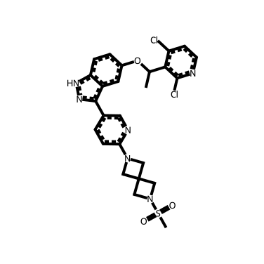 CC(Oc1ccc2[nH]nc(-c3ccc(N4CC5(C4)CN(S(C)(=O)=O)C5)nc3)c2c1)c1c(Cl)ccnc1Cl